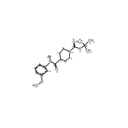 COc1cccc(N(Br)C(=O)C2CCN(C(=O)OC(C)(C)C)CC2)c1